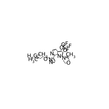 C[C@@H]1COCCN1c1cc(OS(=O)(=O)C(F)(F)F)c2ccnc(-c3ccnn3COCCS(C)(C)C)c2n1